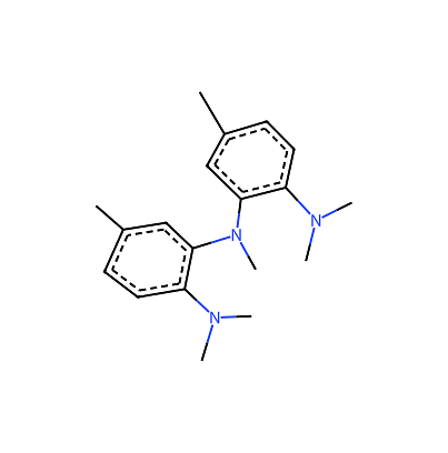 Cc1ccc(N(C)C)c(N(C)c2cc(C)ccc2N(C)C)c1